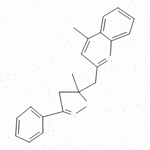 Cc1cc(CC2(C)CC(c3ccccc3)=NO2)nc2ccccc12